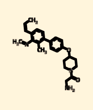 C=Nc1c(/C=C\C)ccc(-c2ccc(OC3CCN(C(=O)CN)CC3)cc2)c1C